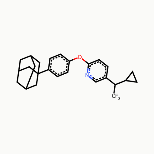 FC(F)(F)C(c1ccc(Oc2ccc(C34CC5CC(CC(C5)C3)C4)cc2)nc1)C1CC1